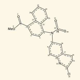 COC(=O)c1ccc(N(c2ccc3nc(Cl)ccc3c2)[SH](=O)=O)c2ccccc12